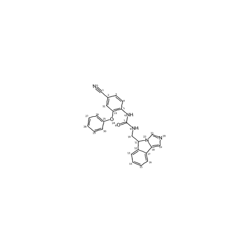 N#Cc1ccc(NC(=O)NCC2c3ccccc3-c3cncn32)c(Oc2ccccc2)c1